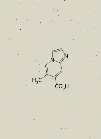 Cc1cn2ccnc2cc1C(=O)O